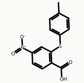 Cc1ccc(Sc2cc([N+](=O)[O-])ccc2C(=O)O)cc1